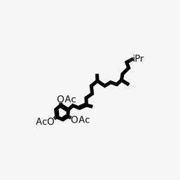 CC(=O)Oc1cc(OC(C)=O)c(CC=C(C)CCCC(C)CCCC(C)CCCC(C)C)c(OC(C)=O)c1